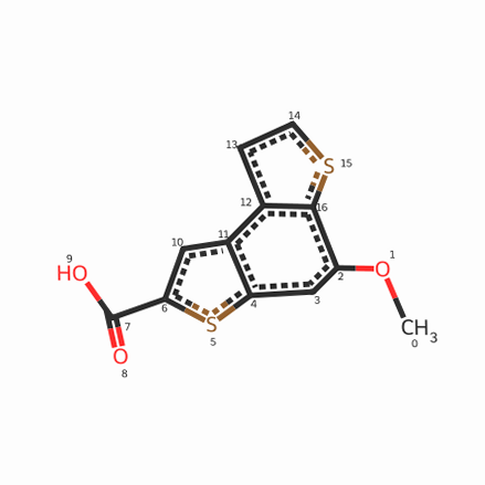 COc1cc2sc(C(=O)O)cc2c2ccsc12